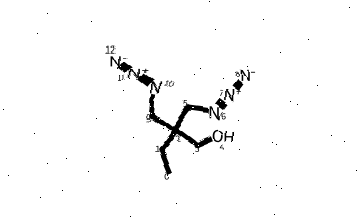 CCC(CO)(CN=[N+]=[N-])CN=[N+]=[N-]